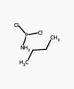 CCCC.NP(Cl)Cl